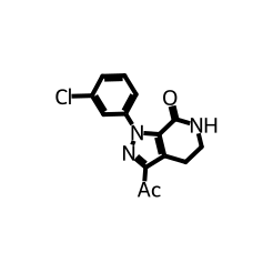 CC(=O)c1nn(-c2cccc(Cl)c2)c2c1CCNC2=O